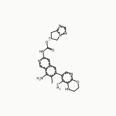 Cc1c(-c2cc3cc(NC(=O)O[C@@H]4Cc5ncnn5C4)ncc3c(N)c2F)cnc2c1NCCO2